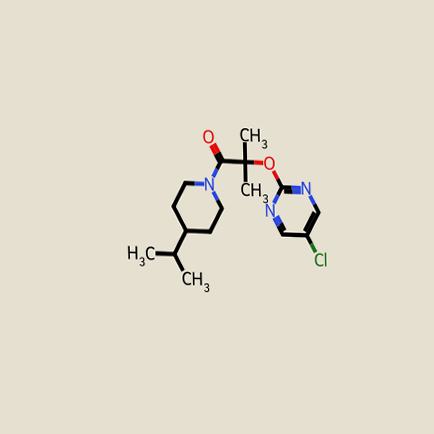 CC(C)C1CCN(C(=O)C(C)(C)Oc2ncc(Cl)cn2)CC1